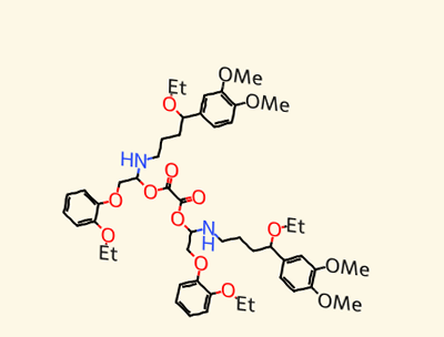 CCOc1ccccc1OCC(NCCCC(OCC)c1ccc(OC)c(OC)c1)OC(=O)C(=O)OC(COc1ccccc1OCC)NCCCC(OCC)c1ccc(OC)c(OC)c1